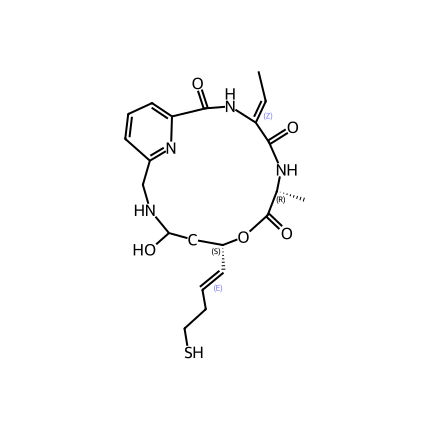 C/C=C1\NC(=O)c2cccc(n2)CNC(O)C[C@@H](/C=C/CCS)OC(=O)[C@@H](C)NC1=O